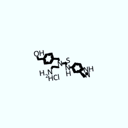 Cl.NCCN(Cc1ccc(CO)cc1)C(=S)Nc1ccc2[nH]ncc2c1